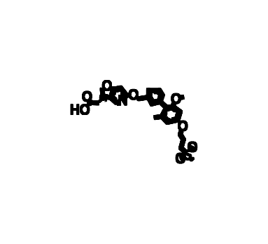 COc1cc(OCCCS(C)(=O)=O)cc(C)c1-c1cccc(COc2cc3c(cn2)[C@H](CC(=O)O)CO3)c1